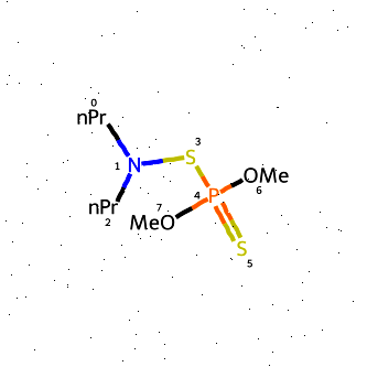 CCCN(CCC)SP(=S)(OC)OC